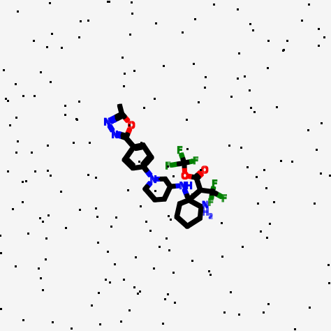 Cc1nnc(-c2ccc(N3CCCC(NC4(C(C(=O)OC(F)(F)F)C(F)(F)F)CCCCC4N)C3)cc2)o1